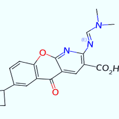 CN(C)/C=N/c1nc2oc3ccc(C4CCC4)cc3c(=O)c2cc1C(=O)O